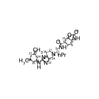 CCCC(CNC(=O)c1ccc2[nH]c(=O)oc2c1)N1CCc2nc(Nc3cc(C)cc(C)c3)ncc2C1